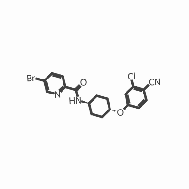 N#Cc1ccc(O[C@H]2CC[C@H](NC(=O)c3ccc(Br)cn3)CC2)cc1Cl